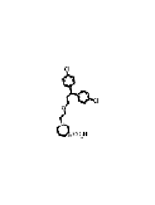 O=C(O)[C@@H]1CCCN(CCOCCC(c2ccc(Cl)cc2)c2ccc(Cl)cc2)C1